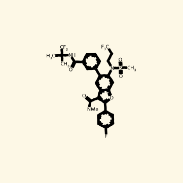 CNC(=O)c1c(-c2ccc(F)cc2)oc2cc(N(CCC(F)(F)F)S(C)(=O)=O)c(-c3cccc(C(=O)NC(C)(C)C(F)(F)F)c3)cc12